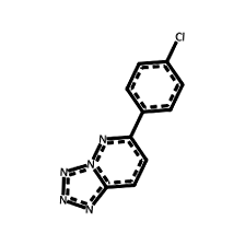 Clc1ccc(-c2ccc3nnnn3n2)cc1